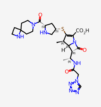 C[C@@H](NC(=O)Cn1cnnn1)[C@H]1C(=O)N2C(C(=O)O)=C(S[C@@H]3CN[C@H](C(=O)N4CCC5(CCN5)CC4)C3)[C@H](C)[C@H]12